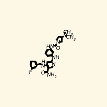 CN(C)C1CCN(C(=O)Nc2cccc(Nc3cc(NCc4cccc(F)c4)c(C(N)=O)cn3)c2)C1